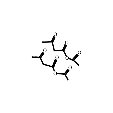 CC(=O)CC(=O)OC(C)=O.CC(=O)CC(=O)OC(C)=O